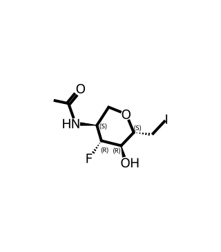 CC(=O)N[C@H]1CO[C@H](CI)[C@@H](O)[C@@H]1F